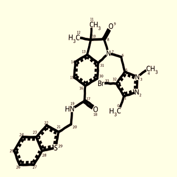 Cc1nn(C)c(CN2C(=O)C(C)(C)c3ccc(C(=O)NCc4cc5ccccc5s4)cc32)c1Br